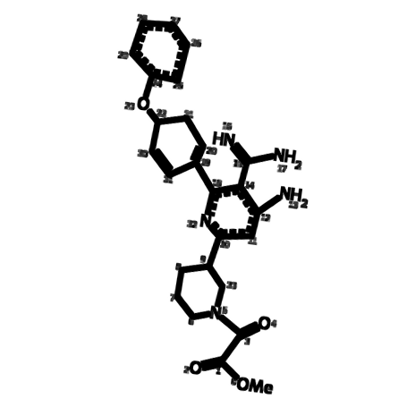 COC(=O)C(=O)N1CCCC(c2cc(N)c(C(=N)N)c(C3=CCC(Oc4ccccc4)C=C3)n2)C1